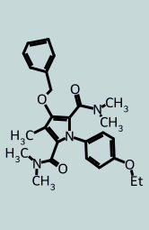 CCOc1ccc(-n2c(C(=O)N(C)C)c(C)c(OCc3ccccc3)c2C(=O)N(C)C)cc1